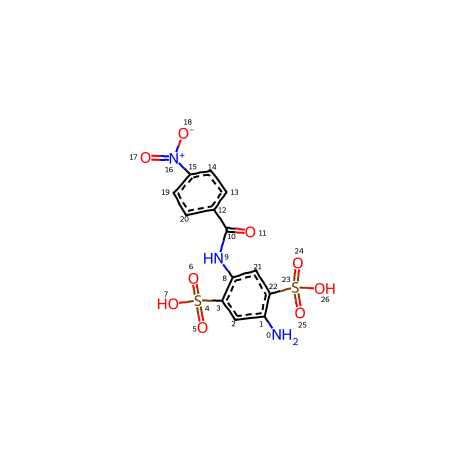 Nc1cc(S(=O)(=O)O)c(NC(=O)c2ccc([N+](=O)[O-])cc2)cc1S(=O)(=O)O